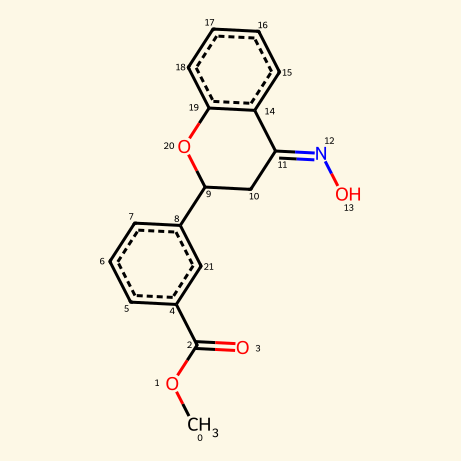 COC(=O)c1cccc(C2CC(=NO)c3ccccc3O2)c1